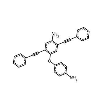 Nc1ccc(Oc2cc(C#Cc3ccccc3)c(N)cc2C#Cc2ccccc2)cc1